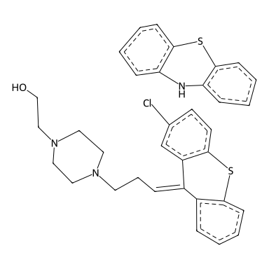 OCCN1CCN(CCC=C2c3ccccc3Sc3ccc(Cl)cc32)CC1.c1ccc2c(c1)Nc1ccccc1S2